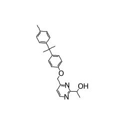 Cc1ccc(C(C)(C)c2ccc(OCc3ccnc(C(C)O)n3)cc2)cc1